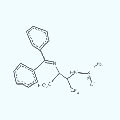 CC(C)(C)[S@+]([O-])NC(C(N=C(c1ccccc1)c1ccccc1)C(=O)O)C(F)(F)F